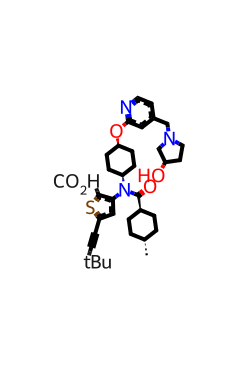 CC(C)(C)C#Cc1cc(N(C(=O)[C@H]2CC[C@H](C)CC2)[C@H]2CC[C@H](Oc3cc(CN4CCC(O)C4)ccn3)CC2)c(C(=O)O)s1